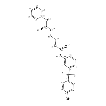 CC(C)(c1ccc(O)cc1)c1cccc(OC(=O)OCCOC(=O)Oc2ccccc2)c1